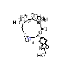 CCC[C@H]1C(=O)C(C)(C)[C@@H](O)CC(=O)O[C@H](c2ccc3oc(CO)nc3c2)C/C=C(/C)CCC[C@H](C)[C@@H]1O